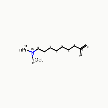 C=C(C)CCCCCCCN(CCC)CCCCCCCC